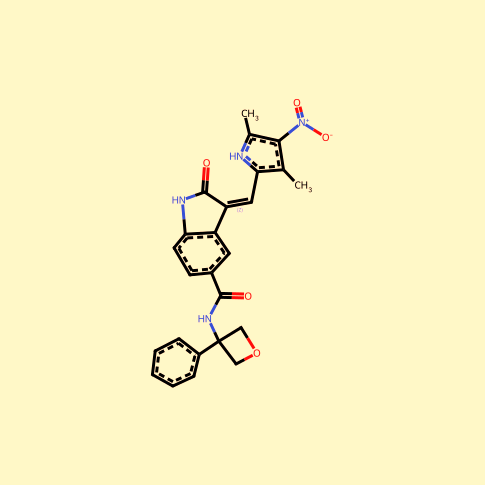 Cc1[nH]c(/C=C2\C(=O)Nc3ccc(C(=O)NC4(c5ccccc5)COC4)cc32)c(C)c1[N+](=O)[O-]